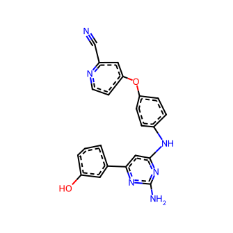 N#Cc1cc(Oc2ccc(Nc3cc(-c4cccc(O)c4)nc(N)n3)cc2)ccn1